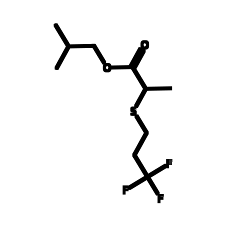 CC(C)COC(=O)C(C)SCCC(F)(F)F